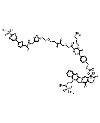 CC[C@@]1(OC(=O)OCc2ccc(NC(=O)[C@H](CCCCN)NC(=O)COCC(=O)NCCOCCn3cc(CNC(=O)c4csc(-c5cnc(S(C)(=O)=O)nc5)n4)nn3)cc2)C(=O)OCc2c1cc1n(c2=O)Cc2c-1nc1ccccc1c2CCN(C(C)C)S(C)(=O)=O